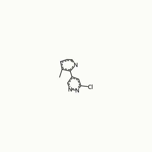 Cc1cccnc1-c1cnnc(Cl)c1